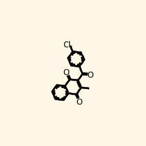 CC1=C(C(=O)c2ccc(Cl)cc2)C(=O)c2ccccc2C1=O